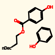 CCCCCCCCCCCCOC(=O)c1ccc(O)cc1.Oc1ccccc1